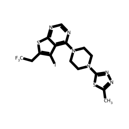 Cc1nnc(N2CCN(c3ncnc4sc(CC(F)(F)F)c(I)c34)CC2)s1